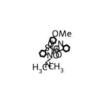 COc1ccc([C@@H]2Sc3ccccc3N(CCN(C)C)C(=O)[C@@H]2OC(=O)c2ccccc2[N+](=O)[O-])cc1